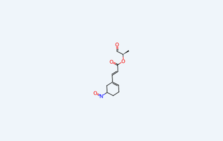 C[C@H](C=O)OC(=O)/C=C/C1=CCCC(N=O)C1